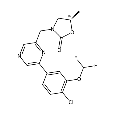 C[C@@H]1CN(Cc2cncc(-c3ccc(Cl)c(OC(F)F)c3)n2)C(=O)O1